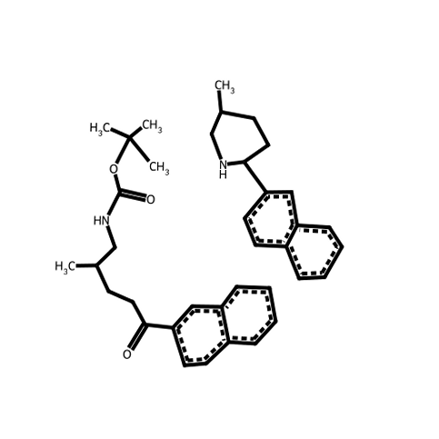 CC(CCC(=O)c1ccc2ccccc2c1)CNC(=O)OC(C)(C)C.CC1CCC(c2ccc3ccccc3c2)NC1